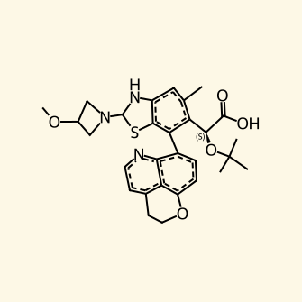 COC1CN(C2Nc3cc(C)c([C@H](OC(C)(C)C)C(=O)O)c(-c4ccc5c6c(ccnc46)CCO5)c3S2)C1